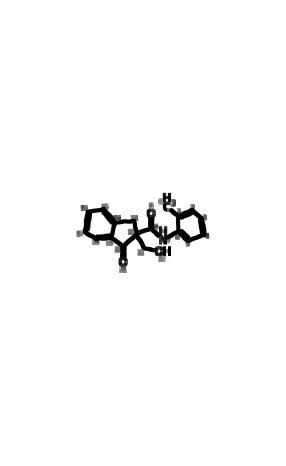 Cc1ccccc1NC(=O)C1(CO)Cc2ccccc2C1=O